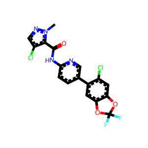 Cn1ncc(Cl)c1C(=O)Nc1ccc(-c2cc3c(cc2Cl)OC(F)(F)O3)cn1